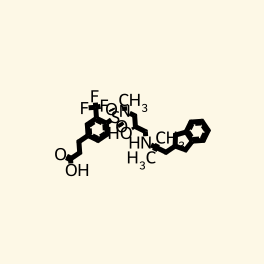 CN(C[C@H](O)CNC(C)(C)CC1Cc2ccccc2C1)S(=O)(=O)c1ccc(CCC(=O)O)cc1C(F)(F)F